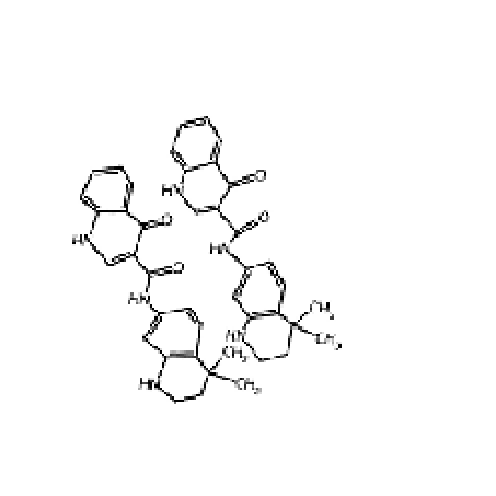 CC1(C)CCNc2cc(NC(=O)c3c[nH]c4ccccc4c3=O)ccc21.CC1(C)CCNc2cc(NC(=O)c3c[nH]c4ccccc4c3=O)ccc21